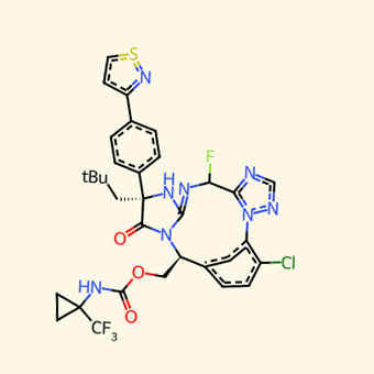 CC(C)(C)C[C@]1(c2ccc(-c3ccsn3)cc2)N/C2=N\C(F)c3ncnn3-c3cc(ccc3Cl)[C@@H](COC(=O)NC3(C(F)(F)F)CC3)N2C1=O